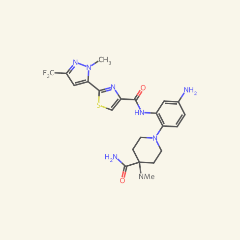 CNC1(C(N)=O)CCN(c2ccc(N)cc2NC(=O)c2csc(-c3cc(C(F)(F)F)nn3C)n2)CC1